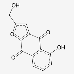 O=C1c2cccc(O)c2C(=O)c2cc(CO)oc21